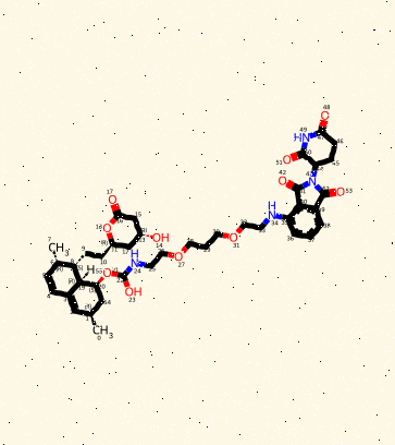 C[C@H]1C=C2C=C[C@H](C)[C@H](CC[C@@H]3C[C@@H](O)CC(=O)O3)[C@H]2[C@@H](OC(O)NCCOCCCOCCNc2cccc3c2C(=O)N(C2CCC(=O)NC2=O)C3=O)C1